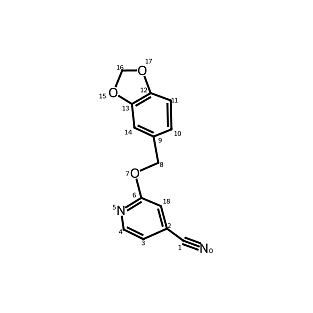 N#Cc1ccnc(OCc2ccc3c(c2)OCO3)c1